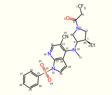 CC[C@@H]1CN(C(=O)CC(F)(F)F)CC1N(C)c1c(C#N)cnc2c1ccn2S(=O)(=O)c1ccccc1